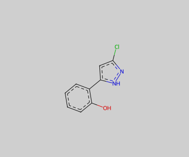 Oc1ccccc1-c1cc(Cl)n[nH]1